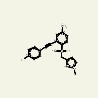 Cn1ccc(CS(=O)(=O)c2ccc([N+](=O)[O-])cc2C#Cc2ccc(F)cc2)n1